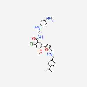 COc1cc(Cl)c(C(=O)NCCN[C@H]2CC[C@@H](N)CC2)cc1-c1ccc(CNCc2ccc(C(C)C)cc2)o1